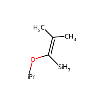 CC(C)=C([SiH3])OC(C)C